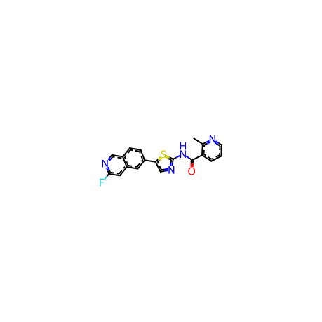 Cc1ncccc1C(=O)Nc1ncc(-c2ccc3cnc(F)cc3c2)s1